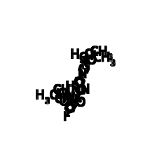 CC(C)(C)OC(=O)NN(C(=O)c1cnc2cc(N3CCN(C(=O)OC(C)(C)C)CC3)ccc2n1)c1ccc(F)cc1